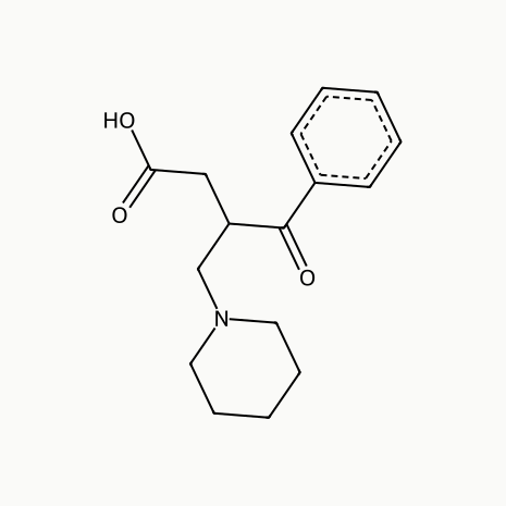 O=C(O)CC(CN1CCCCC1)C(=O)c1ccccc1